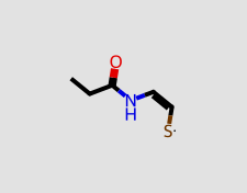 CCC(=O)N/C=C\[S]